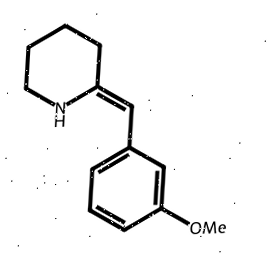 COc1cccc(/C=C2/CCCCN2)c1